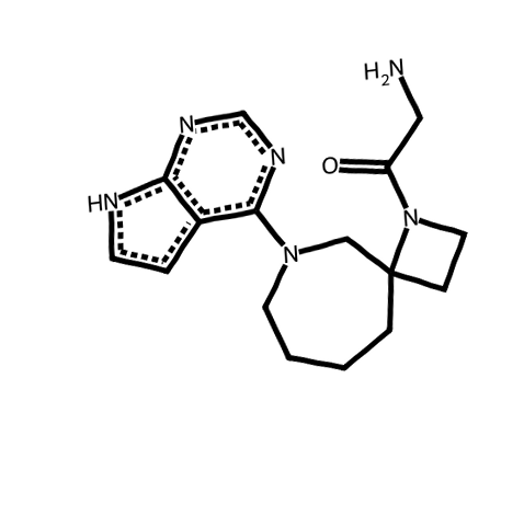 NCC(=O)N1CCC12CCCCN(c1ncnc3[nH]ccc13)C2